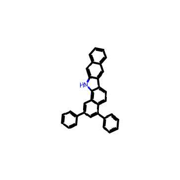 c1ccc(-c2cc(-c3ccccc3)c3ccc4c5cc6ccccc6cc5[nH]c4c3c2)cc1